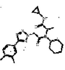 Cc1ccc(-c2nnn(CC(=O)N(C3CCCCC3)C(C)C(=O)NC3CC3)n2)cc1C